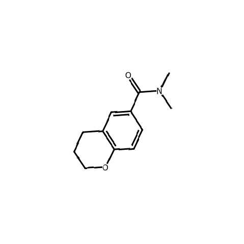 CN(C)C(=O)c1ccc2c(c1)CCCO2